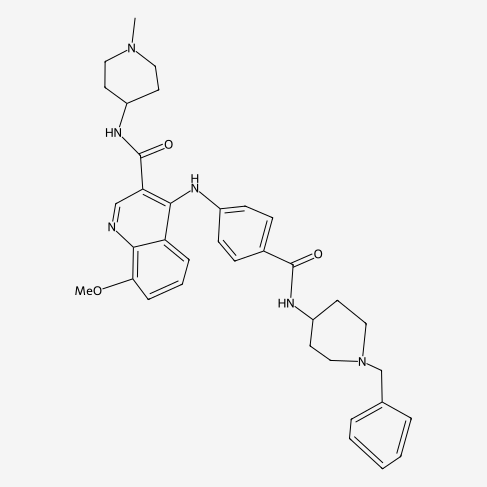 COc1cccc2c(Nc3ccc(C(=O)NC4CCN(Cc5ccccc5)CC4)cc3)c(C(=O)NC3CCN(C)CC3)cnc12